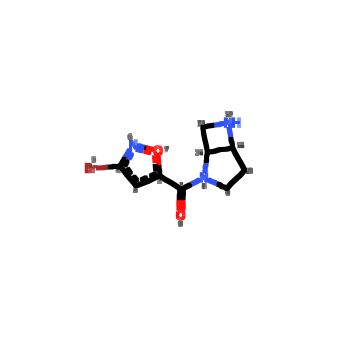 O=C(c1cc(Br)no1)N1CCC2NCC21